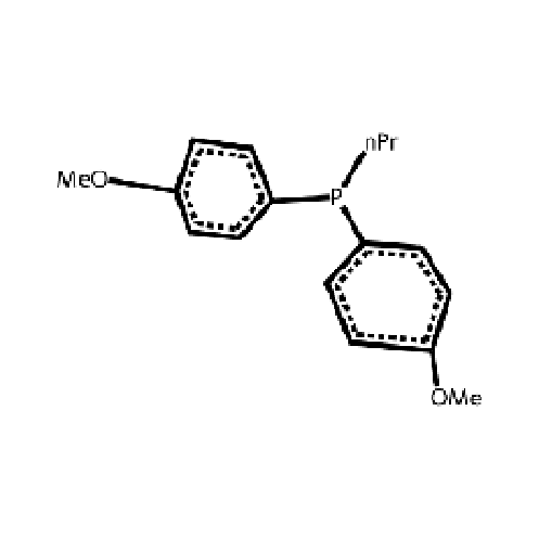 CCCP(c1ccc(OC)cc1)c1ccc(OC)cc1